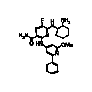 COc1cc(Nc2nc(N[C@@H]3CCCC[C@@H]3N)c(F)cc2C(N)=O)cc(-c2ccccc2)n1